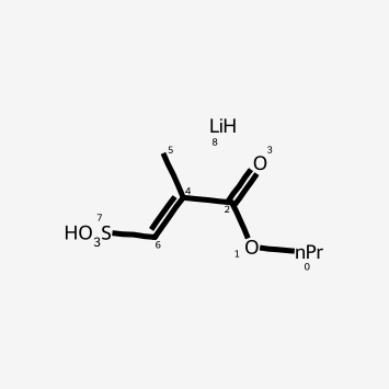 CCCOC(=O)C(C)=CS(=O)(=O)O.[LiH]